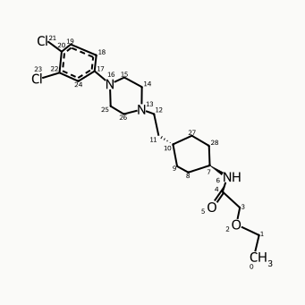 CCOCC(=O)N[C@H]1CC[C@H](CCN2CCN(c3ccc(Cl)c(Cl)c3)CC2)CC1